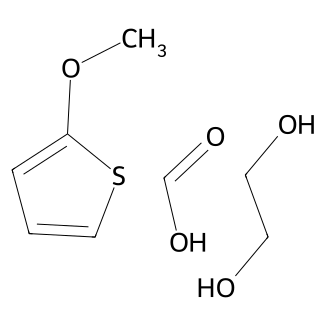 COc1cccs1.O=CO.OCCO